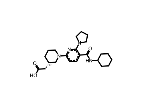 O=C(O)C[C@@H]1CCCN(c2ccc(C(=O)NC3CCCCC3)c(N3CCCC3)n2)C1